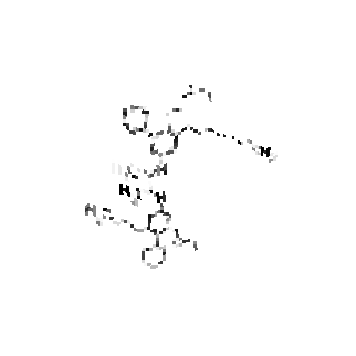 CCCCCCCCc1cc(N=C(CC)C(C)=Nc2cc(CC)c(-c3ccccc3)c(CCCC)c2)cc(-c2ccccc2)c1CCCC